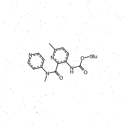 Cc1ccc(NC(=O)OC(C)(C)C)c(C(=O)N(C)c2ccncc2)n1